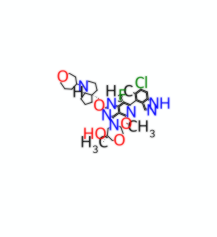 COc1nc(-c2c(C)c(Cl)cc3[nH]ncc23)c(F)c2nc(OC[C@]34CCC[C@H]3N(C3CCCOCC3)CCC4)nc(N3CCOC[C@@](C)(O)C3)c12